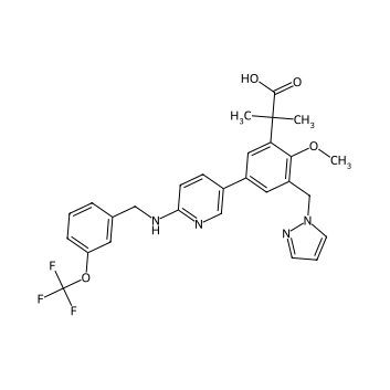 COc1c(Cn2cccn2)cc(-c2ccc(NCc3cccc(OC(F)(F)F)c3)nc2)cc1C(C)(C)C(=O)O